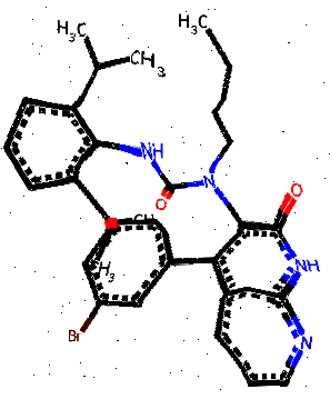 CCCCN(C(=O)Nc1c(C(C)C)cccc1C(C)C)c1c(-c2cccc(Br)c2)c2cccnc2[nH]c1=O